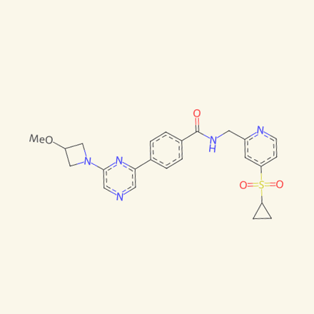 COC1CN(c2cncc(-c3ccc(C(=O)NCc4cc(S(=O)(=O)C5CC5)ccn4)cc3)n2)C1